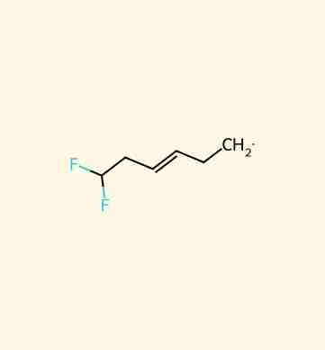 [CH2]CC=CCC(F)F